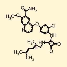 COc1cc2nccc(Oc3ccc(Nc4c(NC/C(C)=C/C=C(C)C)c(=O)c4=O)c(Cl)c3)c2cc1C(N)=O